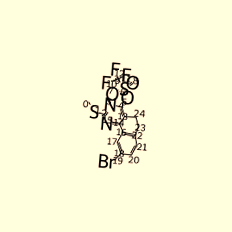 CSc1nc(OS(=O)(=O)C(F)(F)F)c2c(n1)-c1cc(Br)ccc1CC2